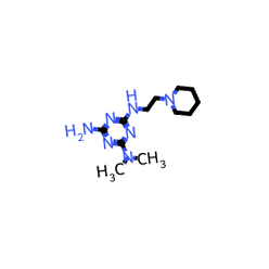 CN(C)c1nc(N)nc(NCCN2CCCCC2)n1